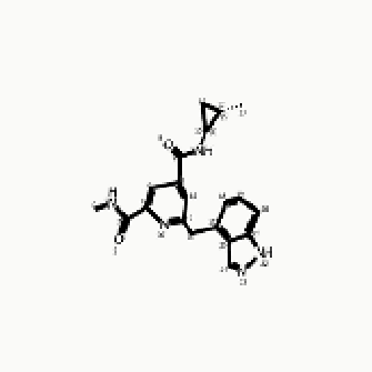 CNC(=O)c1cc(C(=O)N[C@H]2C[C@@H]2C)cc(Cc2cccc3[nH]ncc23)n1